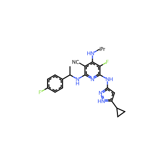 CC(C)Nc1c(F)c(Nc2cc(C3CC3)[nH]n2)nc(NC(C)c2ccc(F)cc2)c1C#N